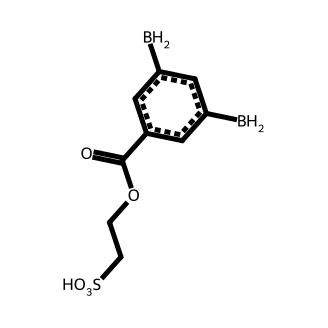 Bc1cc(B)cc(C(=O)OCCS(=O)(=O)O)c1